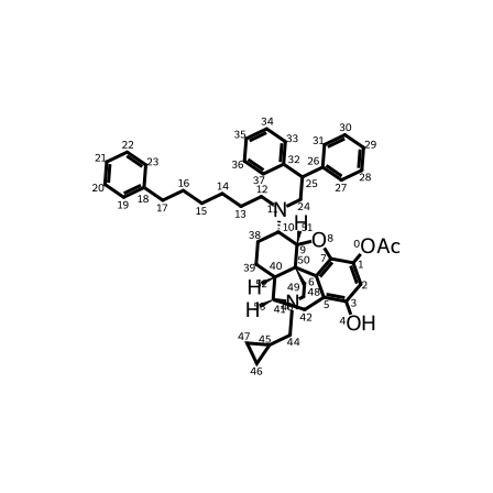 CC(=O)Oc1cc(O)c2c3c1O[C@H]1[C@@H](N(CCCCCCc4ccccc4)CC(c4ccccc4)c4ccccc4)CC[C@H]4[C@@H](C2)N(CC2CC2)CC[C@@]341